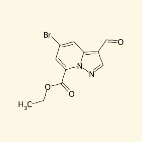 CCOC(=O)c1cc(Br)cc2c(C=O)cnn12